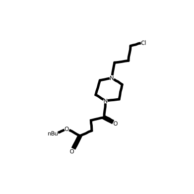 CCCCOC(=O)CCC(=O)N1CCN(CCCCl)CC1